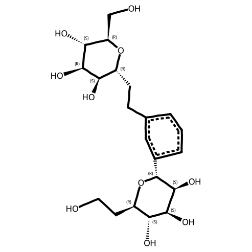 OCC[C@H]1O[C@H](c2cccc(CC[C@H]3O[C@H](CO)[C@@H](O)[C@H](O)[C@@H]3O)c2)[C@@H](O)[C@@H](O)[C@@H]1O